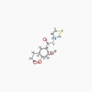 O=C(C[n+]1ccsc1)c1ccc2c(c1)CCOO2.[Br-]